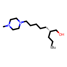 CN1CCN(CCCCC[C@H](CO)CCC(C)(C)C)CC1